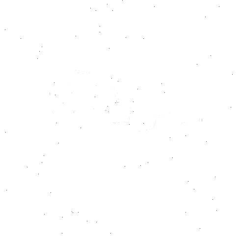 Cc1cc(/C=C2\SC(=O)N(Cc3ccccc3C(F)(F)F)C2=O)ccc1O